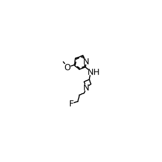 COc1ccnc(NC2CN(CCCF)C2)c1